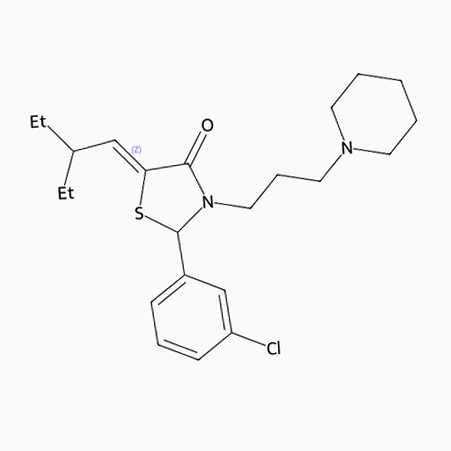 CCC(/C=C1\SC(c2cccc(Cl)c2)N(CCCN2CCCCC2)C1=O)CC